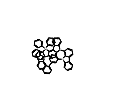 c1ccc(-c2cccc(-n3c4ccccc4c4cccc(-n5c6ccccc6c6c([Si](c7ccccc7)(c7ccccc7)c7ccccc7)c(-n7c8ccccc8c8ccccc87)ccc65)c43)c2)cc1